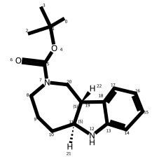 CC(C)(C)OC(=O)N1CCC[C@@H]2Nc3ccccc3[C@H]2C1